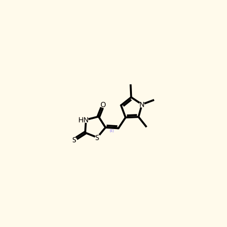 Cc1cc(/C=C2/SC(=S)NC2=O)c(C)n1C